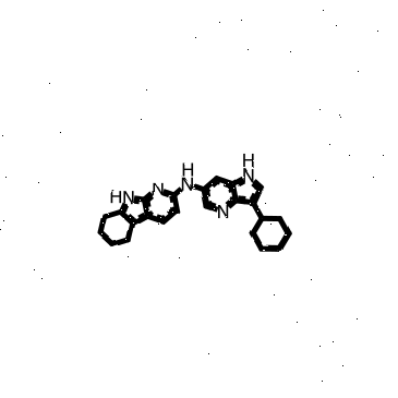 c1nc2c(C3CCCCC3)c[nH]c2cc1Nc1ccc2c3c([nH]c2n1)CCCC3